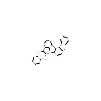 C1=CC2Nc3c(n4c5ccc6sc7ccccc7c6c5c5cccc3c54)NC2C=C1